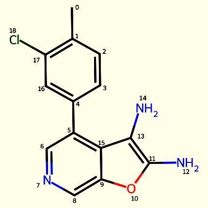 Cc1ccc(-c2cncc3oc(N)c(N)c23)cc1Cl